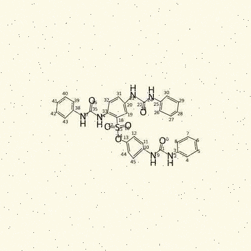 O=C(Nc1ccccc1)Nc1ccc(OS(=O)(=O)c2cc(NC(=O)Nc3ccccc3)ccc2NC(=O)Nc2ccccc2)cc1